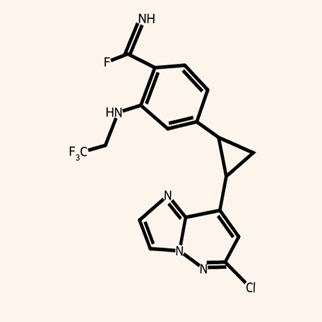 N=C(F)c1ccc(C2CC2c2cc(Cl)nn3ccnc23)cc1NCC(F)(F)F